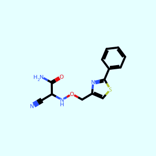 N#CC(NOCc1csc(-c2ccccc2)n1)C(N)=O